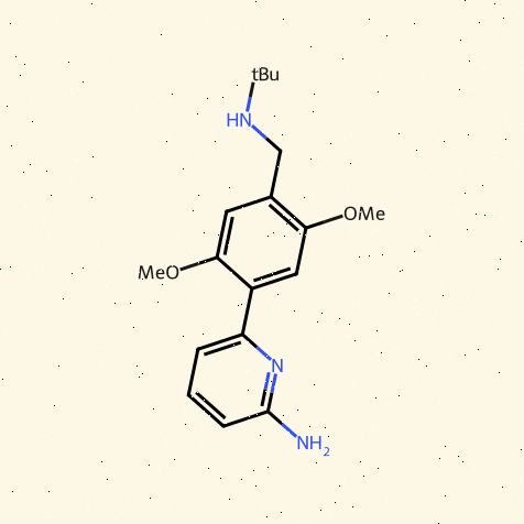 COc1cc(-c2cccc(N)n2)c(OC)cc1CNC(C)(C)C